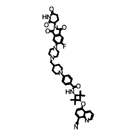 CC1(C)[C@H](NC(=O)c2ccc(N3CCC(CN4CCN(c5cc6c(cc5F)C(=O)N(C5CCC(=O)NC5=O)C6=O)CC4)CC3)cc2)C(C)(C)[C@H]1Oc1ccc(C#N)c2ncccc12